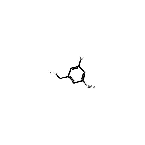 CSc1cc(CO)cc(Br)n1